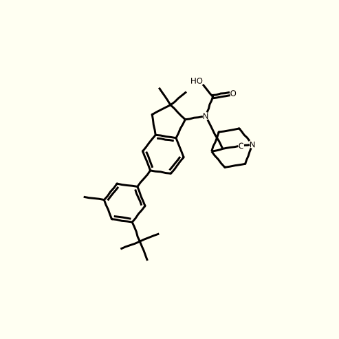 Cc1cc(-c2ccc3c(c2)CC(C)(C)C3N(C(=O)O)C2CN3CCC2CC3)cc(C(C)(C)C)c1